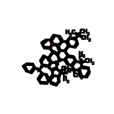 CC(C)(C)c1ccc(C2c3cc4c(cc3B3c5c2cc2ccccc2c5-c2ccc(N(c5ccccc5)c5ccccc5)c5c6c(n3c25)C(C)(C)c2ccccc2-6)C(C)(C)c2ccccc2C4(C)C)c(-c2ccccc2)c1